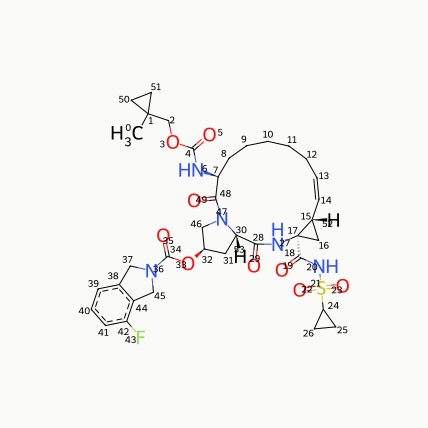 CC1(COC(=O)N[C@H]2CCCCC/C=C\[C@@H]3C[C@@]3(C(=O)NS(=O)(=O)C3CC3)NC(=O)[C@@H]3C[C@@H](OC(=O)N4Cc5cccc(F)c5C4)CN3C2=O)CC1